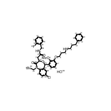 COc1c(OCCCNCCCc2ccccc2)cccc1C1OC(CC(=O)NCc2ccccc2F)C(=O)N(CC(C)(C)C)c2ccc(Cl)cc21.Cl